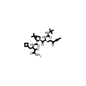 CC#CC(=O)CC[C@H](NC(=O)NC(C)(C)C)C(=O)N1CC2C([C@H]1C(=O)NC(CC1CCC1)C(=O)C(N)=O)C2(C)C